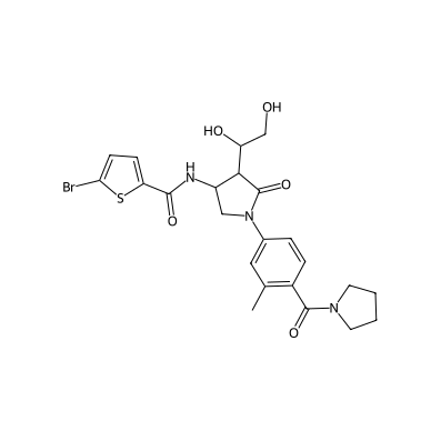 Cc1cc(N2CC(NC(=O)c3ccc(Br)s3)C(C(O)CO)C2=O)ccc1C(=O)N1CCCC1